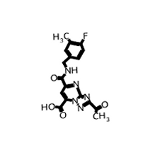 CC(=O)c1nc2nc(C(=O)NCc3ccc(F)c(C)c3)cc(C(=O)O)n2n1